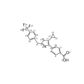 O=C(O)c1ccc(-c2nc(Cc3ccc(C(F)(F)F)cc3)sc2C2CC2)cc1